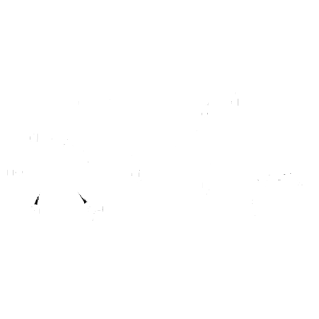 CC[C@@H](O)[C@H](O)c1c(Cl)ccc(CC[C@H](O)[C@@H](O)c2c(Cl)cccc2Cl)c1Cl